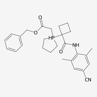 Cc1cc(C#N)cc(C)c1NC(=O)C1([PH]2(CC(=O)OCc3ccccc3)CCCC2)CCC1